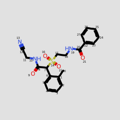 Cc1ccccc1C(C(=O)NCC#N)S(=O)(=O)CCNC(=O)c1ccccc1